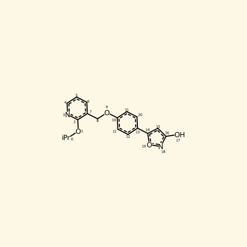 CC(C)Oc1ncccc1COc1ccc(-c2cc(O)no2)cc1